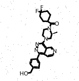 C[C@H]1CN(c2nnc(-c3ccc(CO)cc3)c3ccncc23)CCN1C(=O)C1CCC(F)(F)CC1